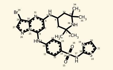 CC1(C)CC(Nc2cc(Nc3ccc(S(=O)(=O)Nc4nccs4)cc3)n3ncc(Br)c3n2)CC(C)(C)N1